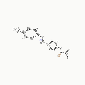 C=C(C)C(=S)Cc1ccc(/C=C/c2ccc(C(=O)OCC)cc2)cc1